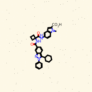 Cn1c(C(=O)O)cc2cc(NC(=O)C3(NC(=O)c4ccc5c(C6CCCCC6)n(-c6ccccc6)nc5c4)CCC3)ccc21